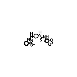 CN(C)c1nc(NC2CCC(NC(=S)Nc3ccc4c(c3)OCCO4)CC2)nc2ccccc12